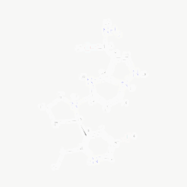 CCc1ncc(F)cc1[C@H]1CCCN1c1ccn2ncc(C(N)=O)c2n1